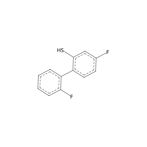 Fc1ccc(-c2ccccc2F)c(S)c1